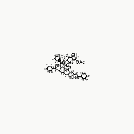 CCCCCCCCCCCCCC[C@@H](OC(=O)c1ccccc1)[C@@H](OC(=O)c1ccccc1)[C@H](COC1OC(COC(C)=O)C(C)C(C)C1C)NC(=O)CCCCCc1ccccc1